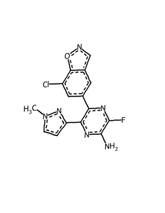 Cn1ccc(-c2nc(N)c(F)nc2-c2cc(Cl)c3oncc3c2)n1